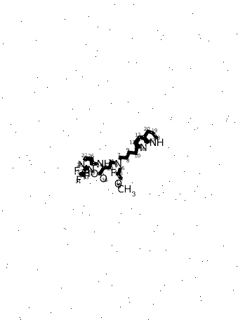 COCC(F)CN(CCCCc1ccc2c(n1)NCCC2)CCC(Nc1ccnc(C(F)(F)F)n1)C(=O)O